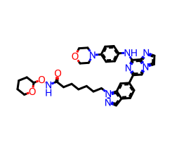 O=C(CCCCCCn1ncc2ccc(-c3cn4ccnc4c(Nc4ccc(N5CCOCC5)cc4)n3)cc21)NOC1CCCCO1